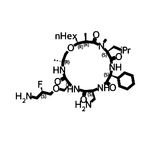 CCCCCC[C@H]1OC[C@@H](C)NC(=O)[C@H](COC[C@@H](F)CN)NC(=O)[C@H](CN)NC(=O)[C@H](C2CCCCC2)NC(=O)[C@H](CC(C)C)N(C)C(=O)[C@@H]1C